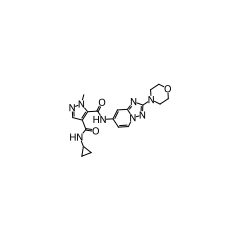 Cn1ncc(C(=O)NC2CC2)c1C(=O)Nc1ccn2nc(N3CCOCC3)nc2c1